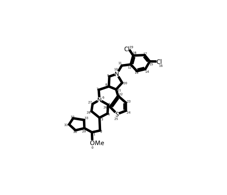 COC(CC1CCN(CC2CN(Cc3ccc(Cl)cc3Cl)CC2c2ccsc2)CC1)C1CCCC1